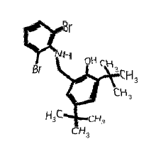 CC(C)(C)c1cc(CNc2c(Br)cccc2Br)c(O)c(C(C)(C)C)c1